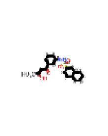 O=C(O)C(O)=CC(=O)c1cccc(NS(=O)(=O)c2ccc3ccccc3c2)c1